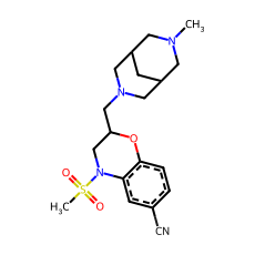 CN1CC2CC(C1)CN(CC1CN(S(C)(=O)=O)c3cc(C#N)ccc3O1)C2